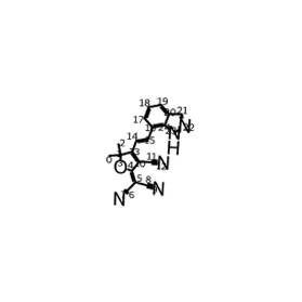 CC1(C)OC(=C(C#N)C#N)C(C#N)=C1/C=C/c1cccc2cn[nH]c12